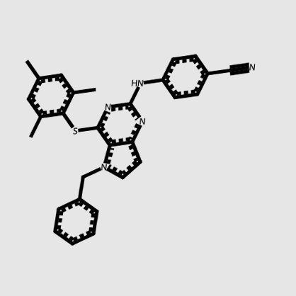 Cc1cc(C)c(Sc2nc(Nc3ccc(C#N)cc3)nc3ccn(Cc4ccccc4)c23)c(C)c1